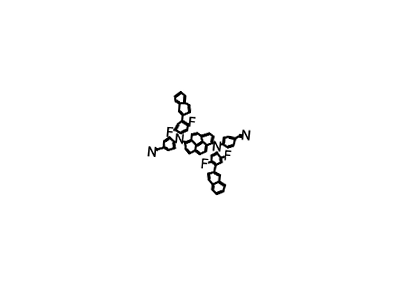 N#Cc1ccc(N(c2cc(F)c(-c3ccc4ccccc4c3)cc2F)c2ccc3ccc4c(N(c5ccc(C#N)cc5)c5cc(F)c(-c6ccc7ccccc7c6)cc5F)ccc5ccc2c3c54)cc1